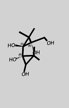 CC1(C)[C@@](O)([C@]2(O)C(O)C2(C)C)[C@]1(O)CO